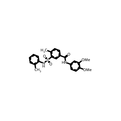 COc1ccc(NC(=O)c2ccc(C)c(S(=O)(=O)Nc3ccccc3C)c2)cc1OC